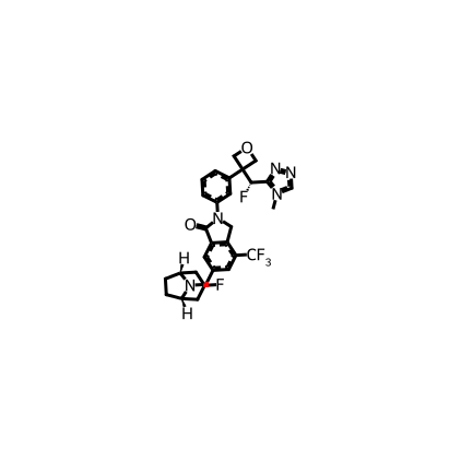 Cn1cnnc1[C@H](F)C1(c2cccc(N3Cc4c(cc(CN5[C@@H]6CC[C@H]5CC(F)C6)cc4C(F)(F)F)C3=O)c2)COC1